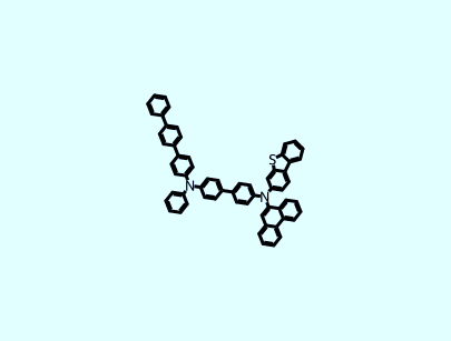 c1ccc(-c2ccc(-c3ccc(N(c4ccccc4)c4ccc(-c5ccc(N(c6ccc7c(c6)sc6ccccc67)c6cc7ccccc7c7ccccc67)cc5)cc4)cc3)cc2)cc1